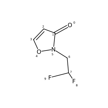 O=c1ccon1CC(F)F